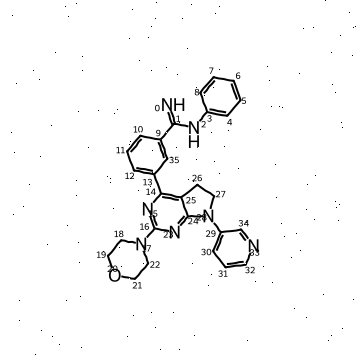 N=C(Nc1ccccc1)c1cccc(-c2nc(N3CCOCC3)nc3c2CCN3c2cccnc2)c1